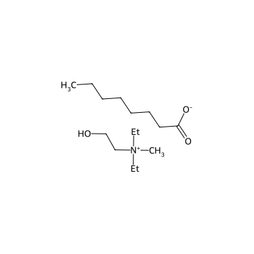 CCCCCCCC(=O)[O-].CC[N+](C)(CC)CCO